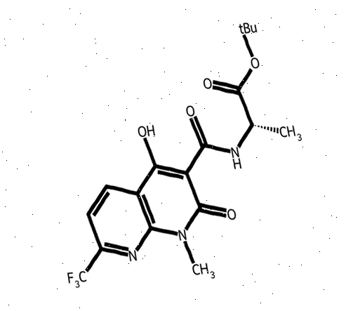 C[C@H](NC(=O)c1c(O)c2ccc(C(F)(F)F)nc2n(C)c1=O)C(=O)OC(C)(C)C